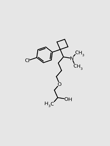 CC(O)COCCCC(N(C)C)C1(c2ccc(Cl)cc2)CCC1